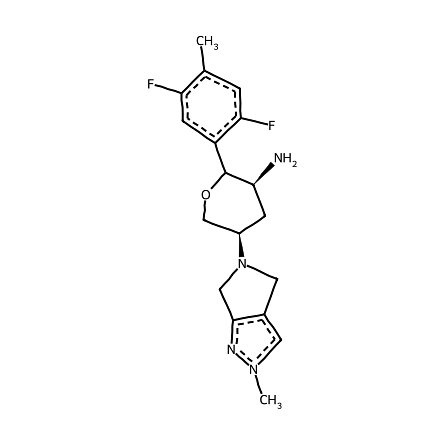 Cc1cc(F)c(C2OC[C@H](N3Cc4cn(C)nc4C3)C[C@@H]2N)cc1F